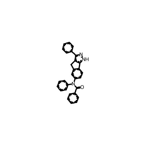 O=C(c1ccccc1)N(c1ccccc1)c1ccc2c(c1)Cc1c(-c3ccccc3)n[nH]c1-2